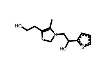 CC1=C(CCO)SCN1CC(O)c1cccs1